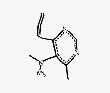 C=Cc1ncnc(C)c1N(C)N